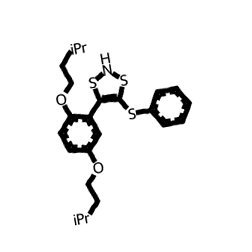 CC(C)CCOc1ccc(OCCC(C)C)c(C2=C(Sc3ccccc3)SNS2)c1